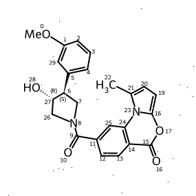 COc1cccc([C@H]2CN(C(=O)c3ccc4c(=O)oc5ccc(C)n5c4c3)C[C@@H]2O)c1